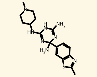 Cc1nc2ccc(C3(N)N=C(N)NC(NC4CCN(C)CC4)=N3)cc2s1